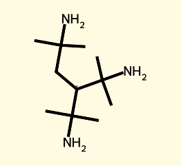 CC(C)(N)C[C](C(C)(C)N)C(C)(C)N